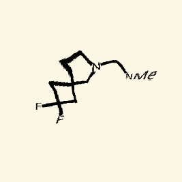 CNCN1CCC2(C1)CC(F)(F)C2